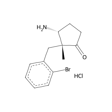 C[C@]1(Cc2ccccc2Br)C(=O)CC[C@H]1N.Cl